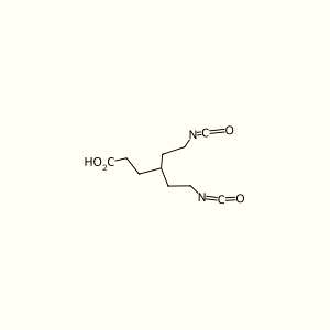 O=C=NCCC(CCN=C=O)CCC(=O)O